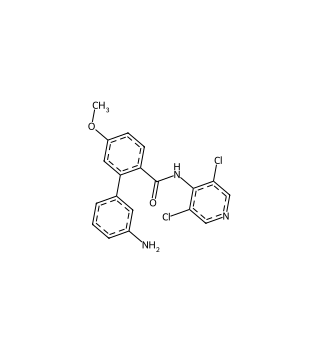 COc1ccc(C(=O)Nc2c(Cl)cncc2Cl)c(-c2cccc(N)c2)c1